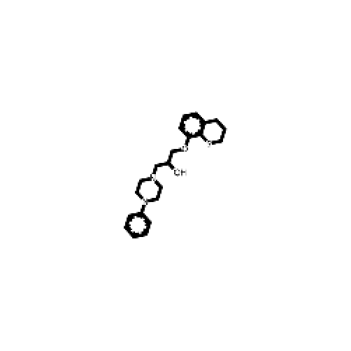 OC(COc1cccc2c1SCCC2)CN1CCN(c2ccccc2)CC1